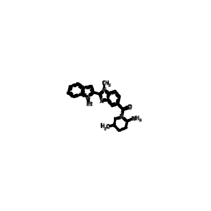 CCn1c(-c2nc3cc(C(=O)N4CC(C)CCC4N)ccc3n2C)cc2ccccc21